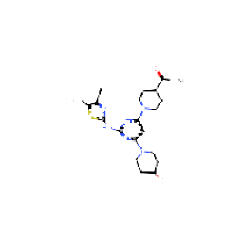 CCOC(=O)c1sc(Nc2nc(N3CCC(O)CC3)cc(N3CCC(C(=O)OC)CC3)n2)nc1C